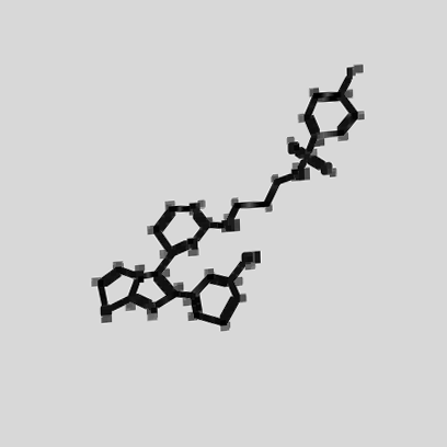 O=S(=O)(NCCCNc1nccc(-c2c(-c3cccc(O)c3)nc3occn23)n1)c1ccc(F)cc1